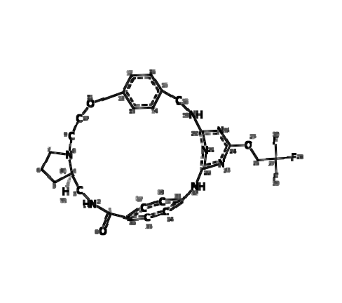 O=C1NC[C@H]2CCCN2CCOc2ccc(cc2)CNc2nc(nc(OCC(F)(F)F)n2)Nc2ccc1cc2